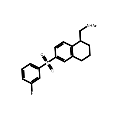 CC(=O)NCC1CCCc2cc(S(=O)(=O)c3cccc(F)c3)ccc21